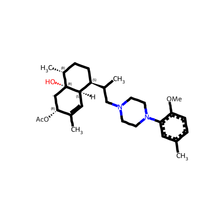 COc1ccc(C)cc1N1CCN(CC(C)[C@@H]2CC[C@@H](C)[C@]3(O)[CH][C@@H](OC(C)=O)C(C)=C[C@H]23)CC1